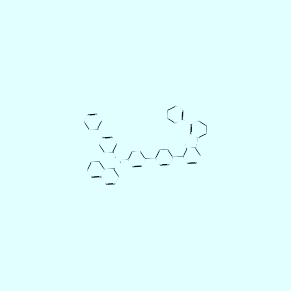 c1ccc(-c2ccc(N(c3ccc(-c4ccc(-c5cccc6c5oc5c(-c7ccccc7)cccc56)cc4)cc3)c3cccc4ccccc34)cc2)cc1